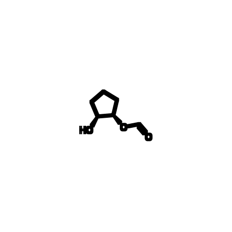 O=CO[C@@H]1CCC[C@@H]1O